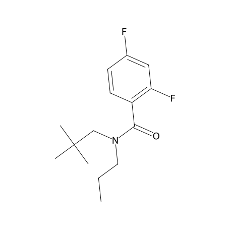 CCCN(CC(C)(C)C)C(=O)c1ccc(F)cc1F